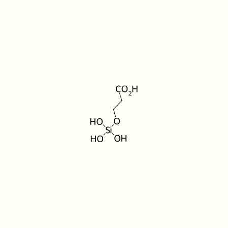 O=C(O)CCO[Si](O)(O)O